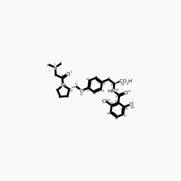 CN(C)CC(=O)N1CCC[C@H]1COc1ccc(C[C@H](NC(=O)c2c(Cl)cccc2Cl)C(=O)O)cc1